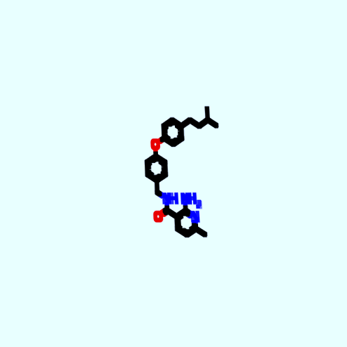 Cc1ccc(C(=O)NCc2ccc(Oc3ccc(CCC(C)C)cc3)cc2)c(N)n1